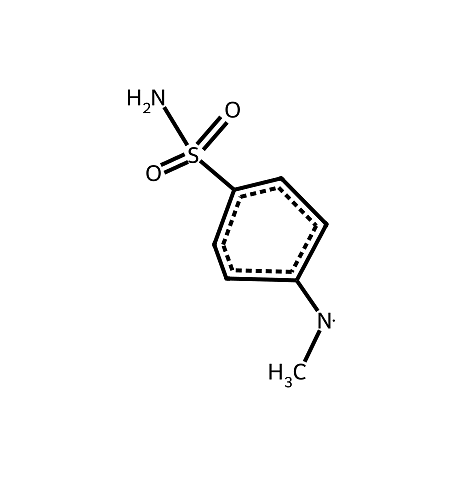 C[N]c1ccc(S(N)(=O)=O)cc1